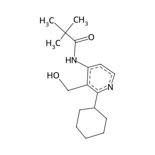 CC(C)(C)C(=O)Nc1ccnc(C2CCCCC2)c1CO